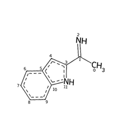 CC(=N)c1cc2ccccc2[nH]1